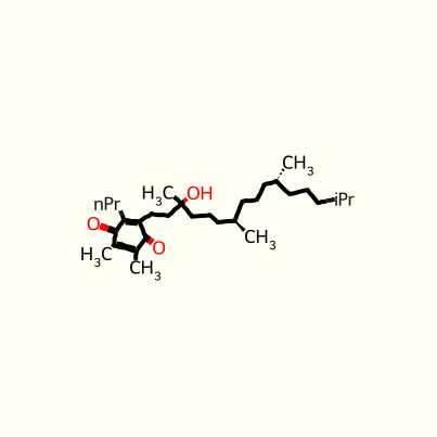 CCCC1=C(CCC(C)(O)CCC[C@H](C)CCC[C@H](C)CCCC(C)C)C(=O)C(C)=C(C)C1=O